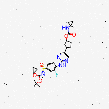 CC1(NC(=O)OC2CCC(c3cnc(Nc4ccc([S@@](=O)(=NC(=O)OC(C)(C)C)C5CC5)cc4F)nc3)C2)CC1